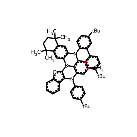 Cc1cc2c3c(c1)N(c1ccc(C(C)(C)C)cc1)c1c(oc4ccccc14)B3c1cc3c(cc1N2c1ccc(C(C)(C)C)cc1-c1ccc(C(C)(C)C)cc1)C(C)(C)CCC3(C)C